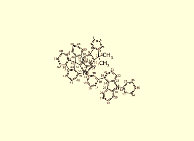 CC1(C)c2ccccc2-c2ccc(N(c3cccc(-c4cccc5c4c4ccccc4n5-c4ccccc4)c3)c3cccc4c3C3(c5ccccc5-c5ccccc53)c3ccccc3-4)cc21